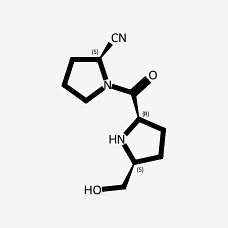 N#C[C@@H]1CCCN1C(=O)[C@H]1CC[C@@H](CO)N1